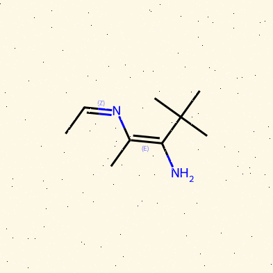 C/C=N\C(C)=C(\N)C(C)(C)C